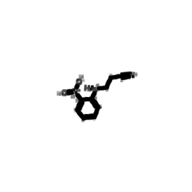 N#CCC[AsH]c1ccccc1[N+](=O)[O-]